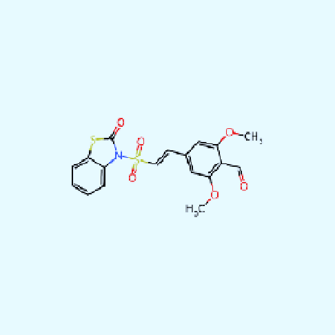 COc1cc(/C=C/S(=O)(=O)n2c(=O)sc3ccccc32)cc(OC)c1C=O